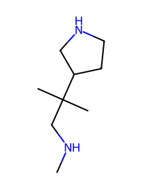 CNCC(C)(C)C1CCNC1